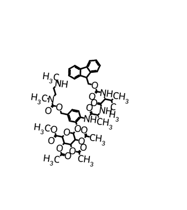 CNCCN(C)C(=O)OCc1ccc(NC(=O)[C@H](C)NC(=O)[C@@H](NC(=O)OCC2c3ccccc3-c3ccccc32)C(C)C)c(OC2OC(C(=O)OC)C(OC(C)=O)C(OC(C)=O)C2OC(C)=O)c1